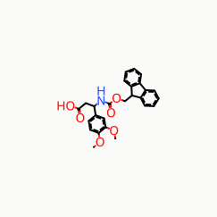 COc1ccc(C(CC(=O)O)NC(=O)OCC2c3ccccc3-c3ccccc32)cc1OC